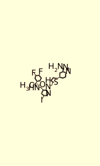 C[C@H](NC(=O)c1cc(I)cnc1NCc1ccc(-c2ccc3ncnc(N)c3c2)s1)c1ccc(F)c(F)c1